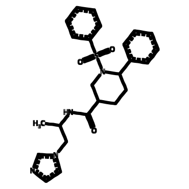 CC(Cn1ccnc1)NC(=O)C1CCC(c2ccccc2)N(S(=O)(=O)c2ccccc2)C1